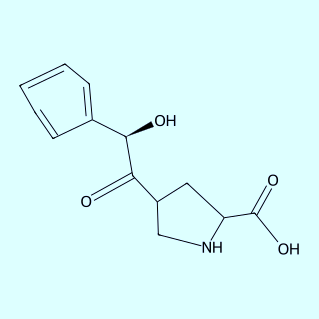 O=C(O)C1CC(C(=O)[C@H](O)c2ccccc2)CN1